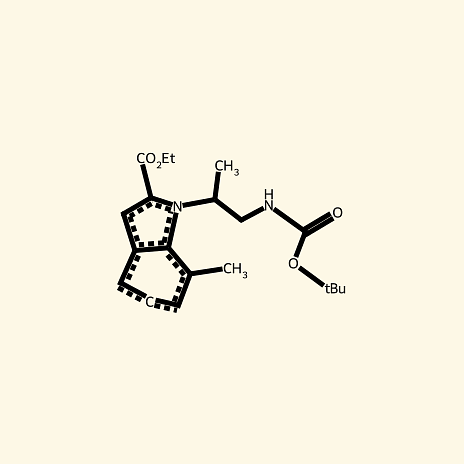 CCOC(=O)c1cc2cccc(C)c2n1C(C)CNC(=O)OC(C)(C)C